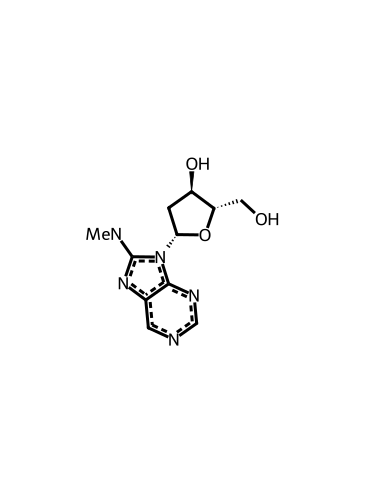 CNc1nc2cncnc2n1[C@@H]1C[C@@H](O)[C@H](CO)O1